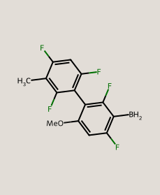 Bc1c(F)cc(OC)c(-c2c(F)cc(F)c(C)c2F)c1F